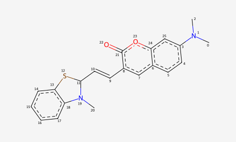 CN(C)c1ccc2cc(C=CC3Sc4ccccc4N3C)c(=O)oc2c1